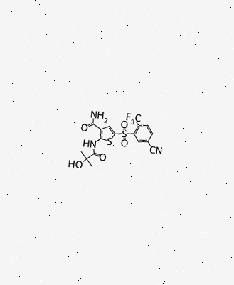 CC(C)(O)C(=O)Nc1sc(S(=O)(=O)c2cc(C#N)ccc2C(F)(F)F)cc1C(N)=O